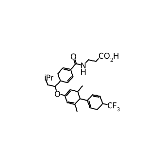 CC1=CC(OC(CC(C)C)C2C=CC(C(=O)NCCC(=O)O)=CC2)=CC(C)C1C1=CCC(C(F)(F)F)C=C1